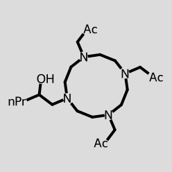 CCCC(O)CN1CCN(CC(C)=O)CCN(CC(C)=O)CCN(CC(C)=O)CC1